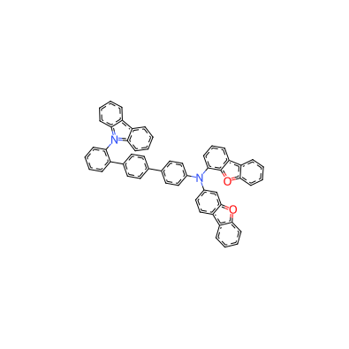 c1ccc(-n2c3ccccc3c3ccccc32)c(-c2ccc(-c3ccc(N(c4ccc5c(c4)oc4ccccc45)c4cccc5c4oc4ccccc45)cc3)cc2)c1